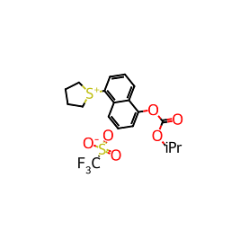 CC(C)OC(=O)Oc1cccc2c([S+]3CCCC3)cccc12.O=S(=O)([O-])C(F)(F)F